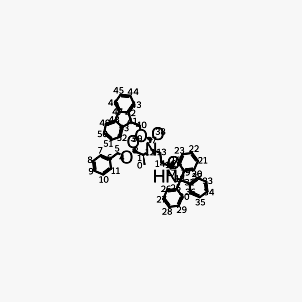 C[C@@H](C(=O)OCc1ccccc1)N(CCC(=O)NC(c1ccccc1)(c1ccccc1)c1ccccc1)C(=O)OCC1c2ccccc2-c2ccccc21